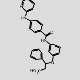 O=C(O)CC(Oc1cccc(NC(=O)c2ccc(Nc3ccccn3)cc2)c1)c1ccccc1